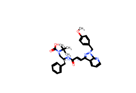 COc1ccc(Cn2nc(/C=C/C(=O)N[C@@H](Cc3ccccc3)CN(C(=O)O)C(C)(C)C)c3cccnc32)cc1